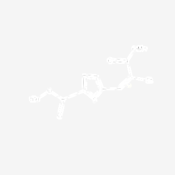 CC/C(=C/c1ccc(C(=O)OC(C)(C)C)s1)C(=O)OC